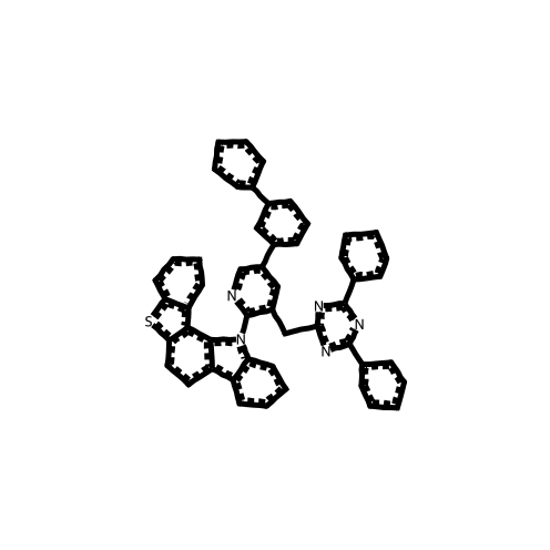 c1ccc(-c2cccc(-c3cnc(-n4c5ccccc5c5ccc6sc7ccccc7c6c54)c(Cc4nc(-c5ccccc5)nc(-c5ccccc5)n4)c3)c2)cc1